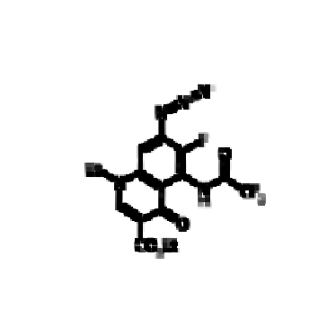 CCOC(=O)c1cn(CC)c2cc(N=[N+]=[N-])c(F)c(NC(=O)C(F)(F)F)c2c1=O